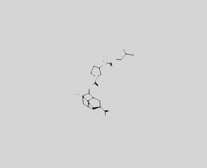 CC(C)COC(=O)NC1CCN(C(=O)OC2C3CC4C[C@@H]2CC(C(=O)O)(C4)C3)C1